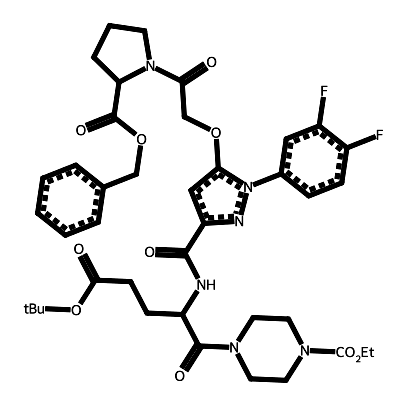 CCOC(=O)N1CCN(C(=O)C(CCC(=O)OC(C)(C)C)NC(=O)c2cc(OCC(=O)N3CCCC3C(=O)OCc3ccccc3)n(-c3ccc(F)c(F)c3)n2)CC1